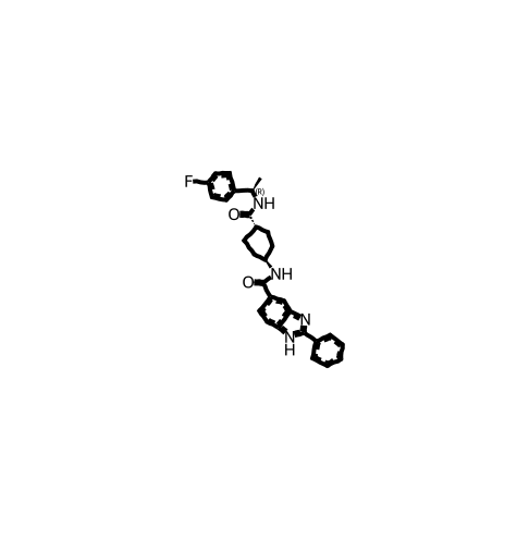 C[C@@H](NC(=O)[C@H]1CC[C@H](NC(=O)c2ccc3[nH]c(-c4ccccc4)nc3c2)CC1)c1ccc(F)cc1